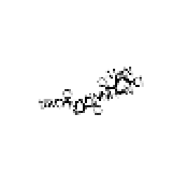 CNc1cc(Cl)ncc1C(=O)NNC(=O)C1CCN(C(=O)OC(C)(C)C)C1